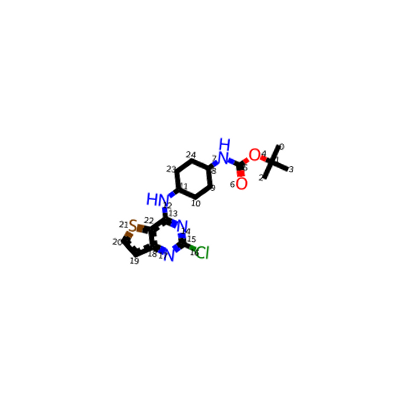 CC(C)(C)OC(=O)NC1CCC(Nc2nc(Cl)nc3ccsc23)CC1